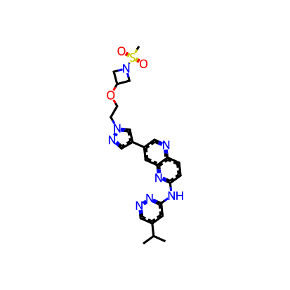 CC(C)c1cnnc(Nc2ccc3ncc(-c4cnn(CCOC5CN(S(C)(=O)=O)C5)c4)cc3n2)c1